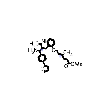 COC(=O)CC/C(C)=C/COc1ccccc1C/C(C(C)=N)=C(/N)c1ccc(-c2ccco2)cc1